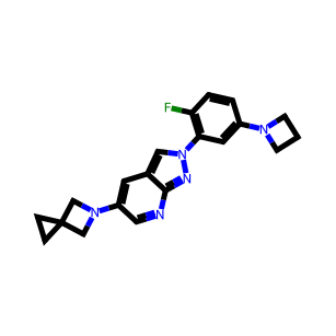 Fc1ccc(N2CCC2)cc1-n1cc2cc(N3CC4(CC4)C3)cnc2n1